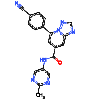 Cc1ncc(NC(=O)c2cc(-c3ccc(C#N)cc3)n3ncnc3c2)cn1